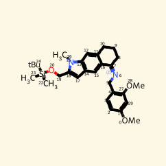 COc1ccc(C/N=C2/CCCc3cc4c(cc32)cc(CO[Si](C)(C)C(C)(C)C)n4C)c(OC)c1